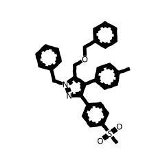 Cc1ccc(-c2c(-c3ccc(S(C)(=O)=O)cc3)nn(Cc3ccccc3)c2COCc2ccccc2)cc1